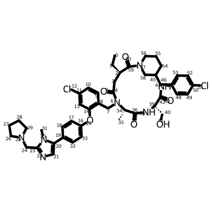 CC[C@@H]1CC(=O)N(Cc2ccc(Cl)cc2Oc2ccc(-c3cnc(CN4CCCC4)n3C)cc2)[C@@H](C)C(=O)N[C@@H](CO)C(=O)N[C@@]2(Cc3ccc(Cl)cc3)CCCN(C2)C1=O